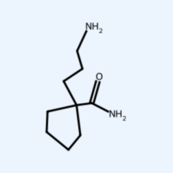 NCCCC1(C(N)=O)CCCC1